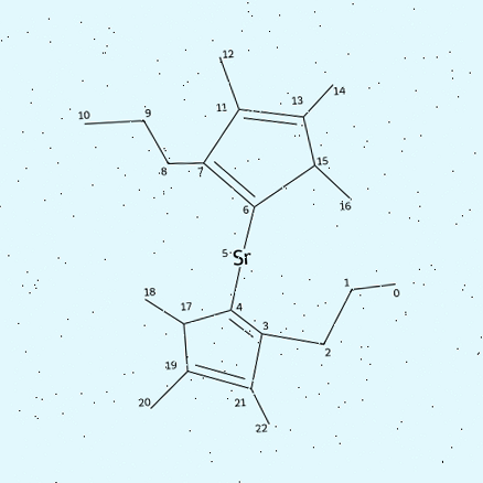 CCCC1=[C]([Sr][C]2=C(CCC)C(C)=C(C)C2C)C(C)C(C)=C1C